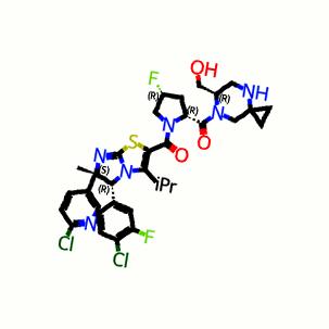 CC(C)C1=C(C(=O)N2C[C@H](F)C[C@@H]2C(=O)N2CC3(CC3)NC[C@@H]2CO)SC2=N[C@@](C)(c3ccc(Cl)nc3)[C@@H](c3ccc(Cl)c(F)c3)N21